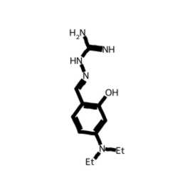 CCN(CC)c1ccc(/C=N/NC(=N)N)c(O)c1